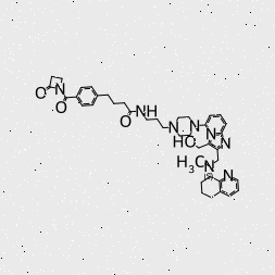 CN(Cc1nc2cccc(N3CCN(CCCNC(=O)CCCc4ccc(C(=O)N5CCC5=O)cc4)CC3)n2c1CO)[C@H]1CCCc2cccnc21